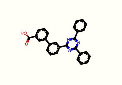 O=C(O)c1cccc(-c2cccc(-c3nc(-c4ccccc4)nc(-c4ccccc4)n3)c2)c1